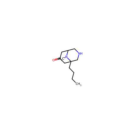 CCCCC12CNCC(CC(=O)C1)N2C